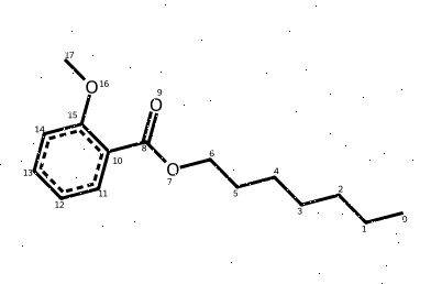 CCCCCCCOC(=O)c1ccccc1OC